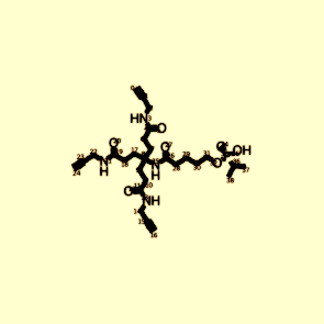 C#CCNC(=O)CCC(CCC(=O)NCC#C)(CCC(=O)NCC#C)NC(=O)CCCCOP(=O)(O)C(C)C